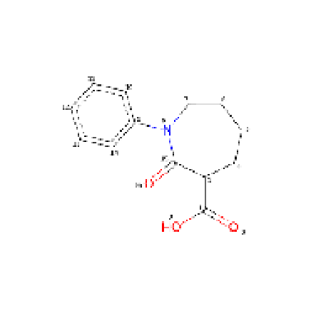 O=C(O)C1CCCCN(c2ccccc2)C1=O